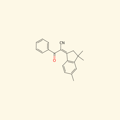 Cc1ccc2c(c1)C(C)(C)CC2=C(C#N)C(=O)c1ccccc1